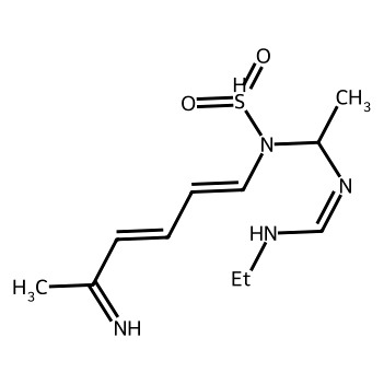 CCN/C=N\C(C)N(/C=C/C=C/C(C)=N)[SH](=O)=O